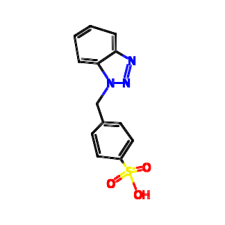 O=S(=O)(O)c1ccc(Cn2nnc3ccccc32)cc1